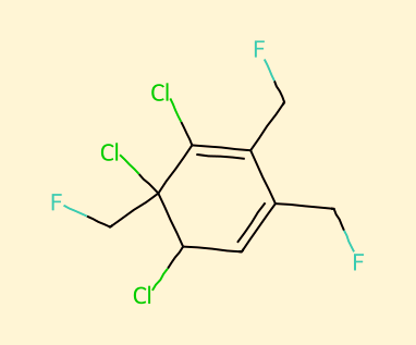 FCC1=CC(Cl)C(Cl)(CF)C(Cl)=C1CF